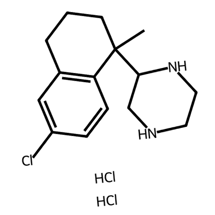 CC1(C2CNCCN2)CCCc2cc(Cl)ccc21.Cl.Cl